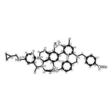 COc1ccc(CN(Cc2ccc(OC)cc2)c2cc(C)c(C(F)(F)F)c(-c3cc4c5c(c3Cl)=NCNC=5N(C(C)c3cncc(NCC5CC5)c3)C=CO4)n2)cc1